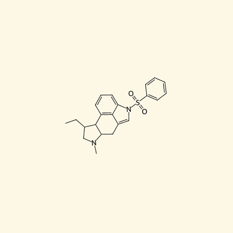 CCC1CN(C)C2Cc3cn(S(=O)(=O)c4ccccc4)c4cccc(c34)C12